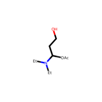 CCN(CC)C(CCO)OC(C)=O